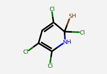 SC1(Cl)NC(Cl)=C(Cl)C=C1Cl